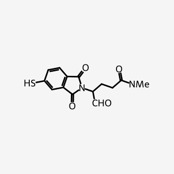 CNC(=O)CCC(C=O)N1C(=O)c2ccc(S)cc2C1=O